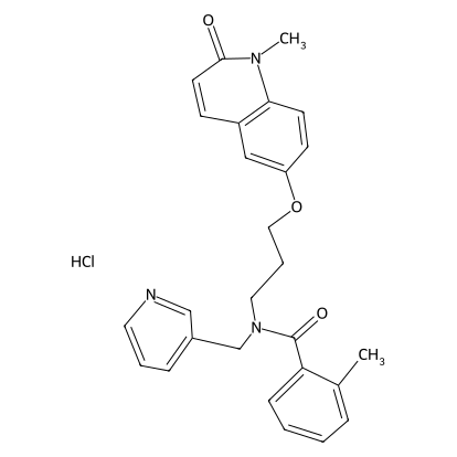 Cc1ccccc1C(=O)N(CCCOc1ccc2c(ccc(=O)n2C)c1)Cc1cccnc1.Cl